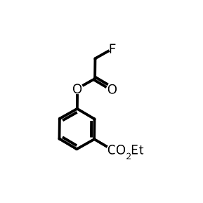 CCOC(=O)c1cccc(OC(=O)CF)c1